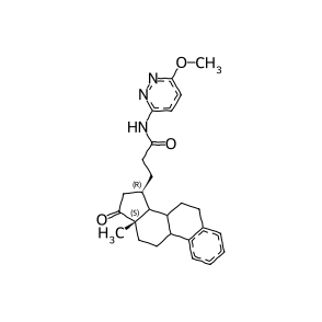 COc1ccc(NC(=O)CC[C@@H]2CC(=O)[C@@]3(C)CCC4c5ccccc5CCC4C23)nn1